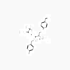 Cc1ccc(CNC(=O)C(N)COc2ccc(C=O)cc2)cc1.O=C(O)C(F)(F)F